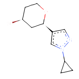 Br[C@H]1CCO[C@@H](c2cnn(C3CC3)c2)C1